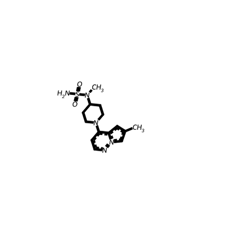 Cc1cc2c(N3CCC(N(C)S(N)(=O)=O)CC3)ccnn2c1